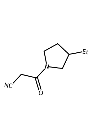 CCC1CCN(C(=O)CC#N)C1